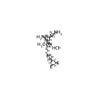 Cc1c(C=CCN2CCN(c3cc(F)cc(F)c3)CC2)cnn1-c1cc(N2CC(N)C2)nc(N)n1.Cl